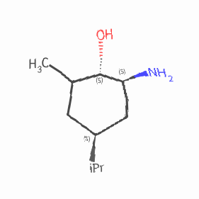 CC(C)[C@H]1CC(C)[C@H](O)[C@@H](N)C1